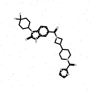 O=C(c1ccc2c(c1)[nH]c(=O)n2C1CCC(F)(F)CC1)N1CC(C2CCN(C(=O)c3nccs3)CC2)C1